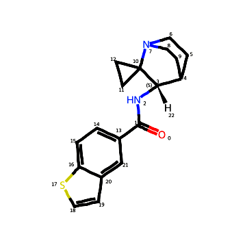 O=C(N[C@H]1C2CCN(CC2)C12CC2)c1ccc2sccc2c1